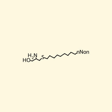 CCCCCCCCCCCCCCCCCCSCC(N)CO